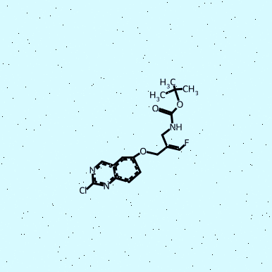 CC(C)(C)OC(=O)NC/C(=C\F)COc1ccc2nc(Cl)ncc2c1